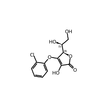 O=C1O[C@H]([C@@H](O)CO)C(Oc2ccccc2Cl)=C1O